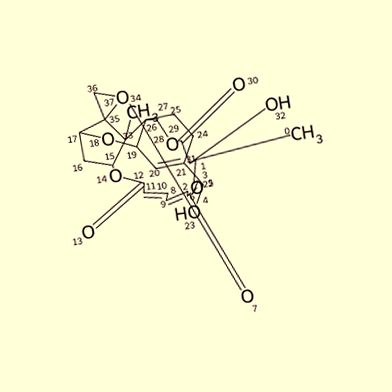 CC1CCCOC(=O)/C=C\C=C/C(=O)OC2CC3OC4C=C(CO)CCC4(COC(=O)C1O)C2(C)C31CO1